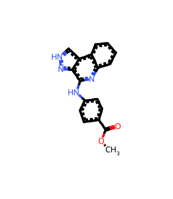 COC(=O)c1ccc(Nc2nc3ccccc3c3c[nH]nc23)cc1